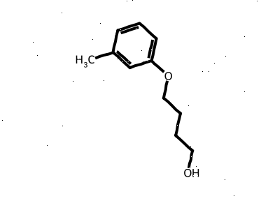 Cc1cccc(OCCCCO)c1